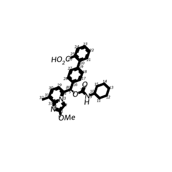 COc1cn2c([C@H](OC(=O)NC3CCCCC3)c3ccc(-c4ccccc4C(=O)O)cc3)ccc(C)c2n1